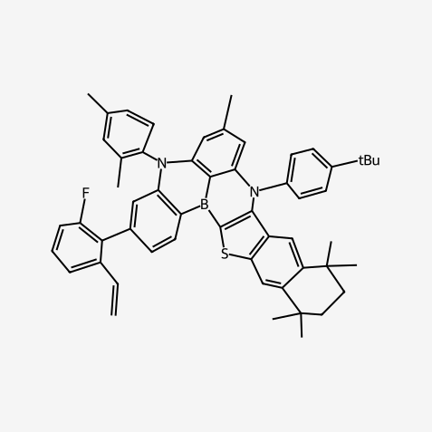 C=Cc1cccc(F)c1-c1ccc2c(c1)N(c1ccc(C)cc1C)c1cc(C)cc3c1B2c1sc2cc4c(cc2c1N3c1ccc(C(C)(C)C)cc1)C(C)(C)CCC4(C)C